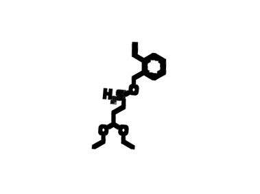 C=Cc1ccccc1CO[SiH2]CCC(OCC)OCC